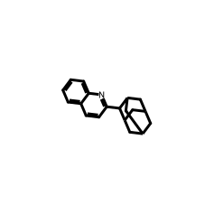 c1ccc2nc(C3C4CC5CC(C4)CC3C5)ccc2c1